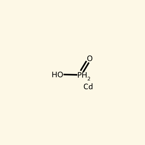 O=[PH2]O.[Cd]